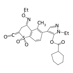 CCON=C1CC(=C=O)S(=O)(=O)c2ccc(-c3cnn(CC)c3OC(=O)C3CCCCC3)c(C)c21